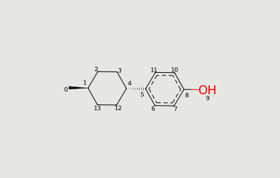 C[C@H]1CC[C@H](c2ccc(O)cc2)CC1